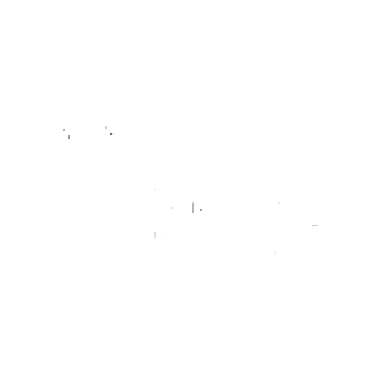 O=C(C=Cc1c[nH]c2ncccc12)NCc1ccc(F)cc1